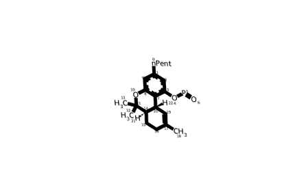 CCCCCc1cc(OP=O)c2c(c1)OC(C)(C)[C@@H]1CCC(C)=C[C@@H]21